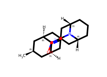 C[C@H]1C[C@H]2CC(N3[C@@H]4CCC[C@H]3C/C(=N/O)C4)C[C@@H](C1)C2